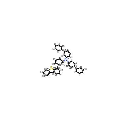 c1ccc(-c2ccc(N(c3cccc(-c4ccccc4)c3)c3cccc(-c4cccc5c4sc4ccccc45)c3)cc2)cc1